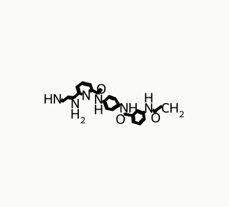 C=CC(=O)Nc1cccc(C(=O)Nc2ccc(NC(=O)c3cccc(/C(N)=C/C=N)n3)cc2)c1